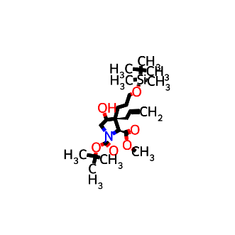 C=CC[C@]1(CCCO[Si](C)(C)C(C)(C)C)C(O)CN(C(=O)OC(C)(C)C)[C@@H]1C(=O)OC